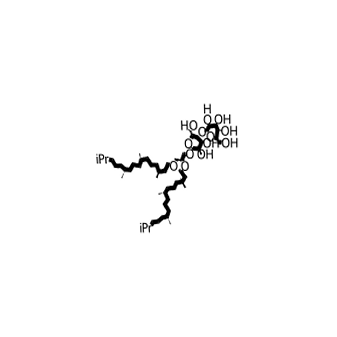 CC(C)CCC[C@@H](C)CCC[C@H](C)CCC[C@H](C)CCOC[C@@H](CO[C@H]1O[C@H](CO)[C@@H](O[C@@H]2O[C@H](CO)[C@@H](O)[C@H](O)[C@H]2O)[C@H](O)[C@H]1O)OCC[C@@H](C)CCC[C@@H](C)CCC[C@H](C)CCCC(C)C